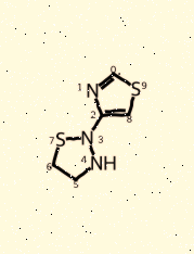 [c]1nc(N2NCCS2)cs1